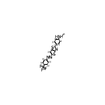 CCNc1ccc(-c2nc3sc(N=Nc4ccc(C(F)(F)F)cc4)cc3s2)cc1